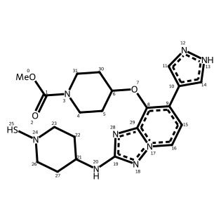 COC(=O)N1CCC(Oc2c(-c3cn[nH]c3)ccn3nc(NC4CCN(S)CC4)nc23)CC1